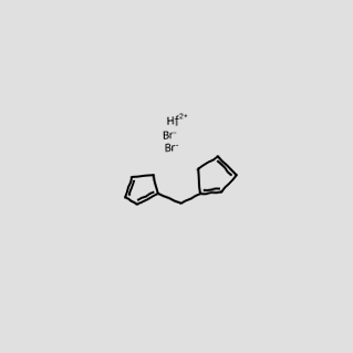 C1=CCC(CC2=CC=CC2)=C1.[Br-].[Br-].[Hf+2]